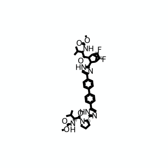 COC(=O)NC(C(=O)C1C(c2nc(-c3ccc(-c4ccc(-c5cnc([C@@H]6CCCN6C(=O)[C@@H](NC(=O)OC)C(C)C)[nH]5)cc4)cc3)c[nH]2)C2CC1[C@H](F)[C@@H]2F)C(C)C